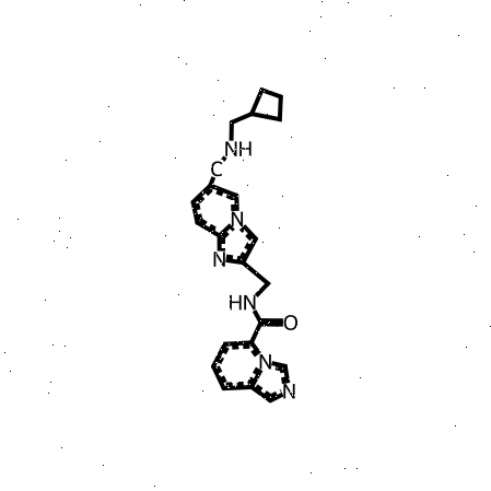 O=C(NCc1cn2cc(CNCC3CCC3)ccc2n1)c1cccc2cncn12